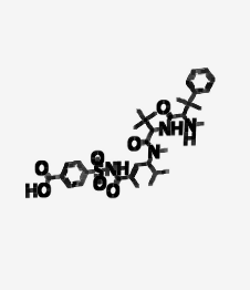 CNC(C(=O)NC(C(=O)N(C)C(C=C(C)C(=O)NS(=O)(=O)c1ccc(C(=O)O)cc1)C(C)C)C(C)(C)C)C(C)(C)c1ccccc1